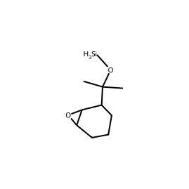 CC(C)(O[SiH3])C1CCCC2OC21